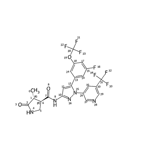 C[C@H]1C(=O)NC[C@@H]1C(=O)Nc1cc(-c2cc(F)cc(OC(F)(F)F)c2)n(-c2cncc(C(F)(F)F)c2)n1